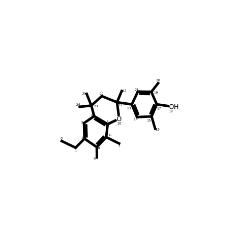 CCc1cc2c(c(C)c1C)OC(C)(c1cc(C)c(O)c(C)c1)CC2(C)C